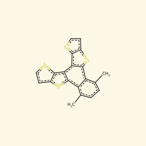 Cc1ccc(C)c2c3sc4ccsc4c3c3c4sccc4sc3c12